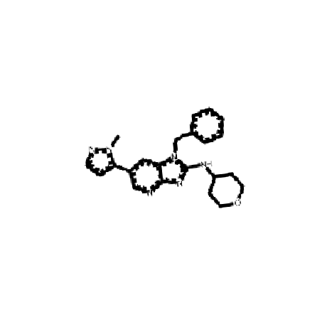 Cn1nccc1-c1cnc2nc(NC3CCOCC3)n(Cc3ccccc3)c2c1